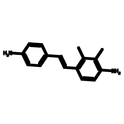 Cc1c(N)ccc(C=Cc2ccc(N)cc2)c1C